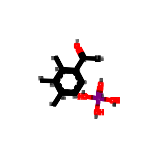 O=P(O)(O)O.[Li][C](=O)c1ccc(C)c(C)c1C